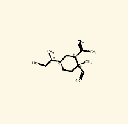 C=C[C@]1(C)CC[C@@H]([C@H](C)CO)C[C@H]1C(=C)C